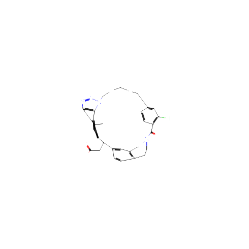 Cc1c2ccc3c1nnn3CCCCCc1ccc(c(Cl)c1)C(=O)N1CCc3ccc(cc3C1)C2CC(=O)O